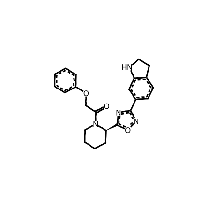 O=C(COc1ccccc1)N1CCCC[C@@H]1c1nc(-c2ccc3c(c2)NCC3)no1